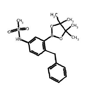 CC1(C)OB(c2cc(NS(C)(=O)=O)ccc2Cc2ccccc2)OC1(C)C